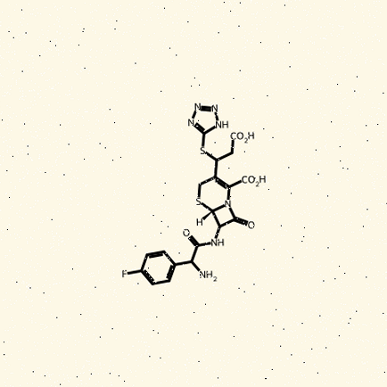 NC(C(=O)NC1C(=O)N2C(C(=O)O)=C(C(CC(=O)O)Sc3nnn[nH]3)CS[C@@H]12)c1ccc(F)cc1